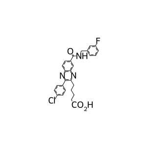 O=C(O)CCCCc1nc2cc(C(=O)NCc3cccc(F)c3)ccc2nc1-c1ccc(Cl)cc1